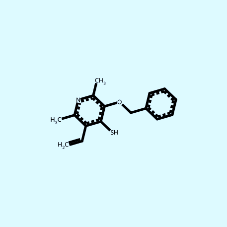 C=Cc1c(C)nc(C)c(OCc2ccccc2)c1S